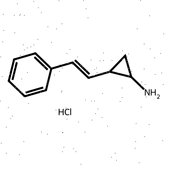 Cl.NC1CC1C=Cc1ccccc1